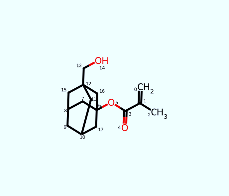 C=C(C)C(=O)OC12CC3CC(CC(CO)(C3)C1)C2